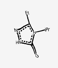 CCc1n[nH]c(=O)n1C(C)C